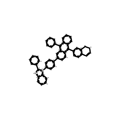 C1=Cc2ccc(-c3c4ccccc4c(-c4ccccc4)c4cc(-c5ccc(-n6c(-c7ccccc7)nc7ccccc76)cc5)ccc34)cc2CC1